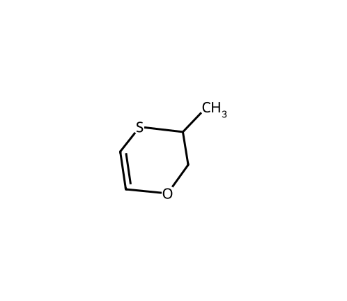 CC1COC=CS1